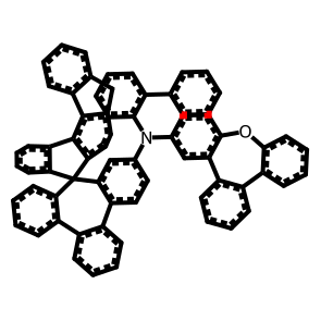 c1ccc(-c2ccccc2N(c2ccc3c(c2)-c2ccccc2-c2ccccc2O3)c2ccc3c(c2)C2(c4ccccc4-c4ccccc4-3)c3ccccc3-c3c2ccc2c3-c3ccccc3C2)cc1